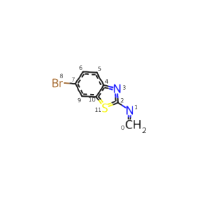 C=Nc1nc2ccc(Br)cc2s1